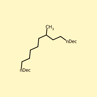 CCCCCCCCCCCCCCCC(C)CCCCCCCCCCCC